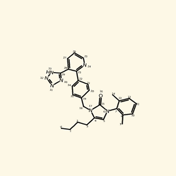 CCCCc1cn(-c2c(C)cccc2C)c(=O)n1Cc1ccc(-c2ncccc2-c2nnn[nH]2)cc1